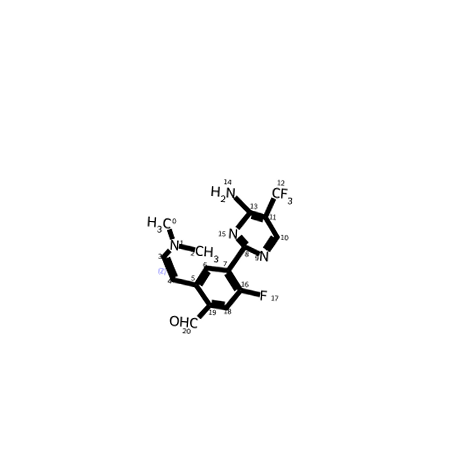 CN(C)/C=C\c1cc(-c2ncc(C(F)(F)F)c(N)n2)c(F)cc1C=O